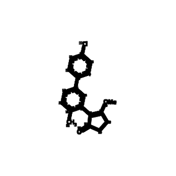 COC1=C(c2cc(-c3ccc(Cl)cc3)ccc2C)C(=O)CC1